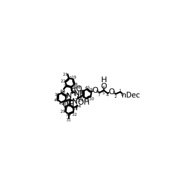 CCCCCCCCCCCCOCC(O)COc1ccc(C2(O)NC(c3ccc(C)cc3C)=NC(c3ccc(C)cc3C)(C3(O)C=CC=CC3)N2)c(O)c1